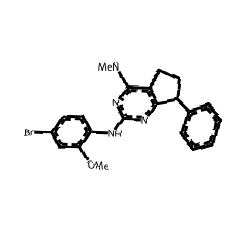 CNc1nc(Nc2ccc(Br)cc2OC)nc2c1CCC2c1ccccc1